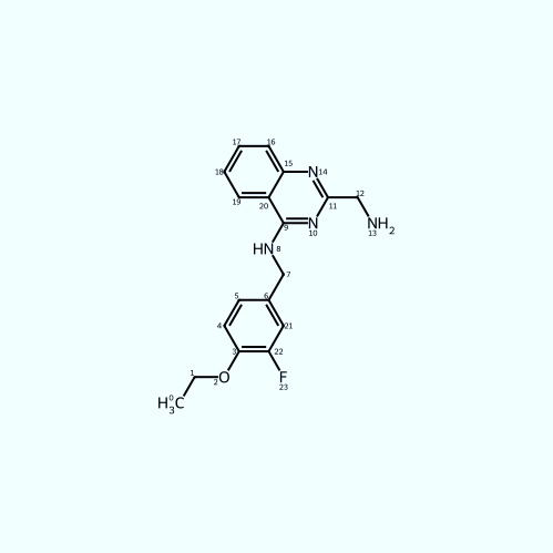 CCOc1ccc(CNc2nc(CN)nc3ccccc23)cc1F